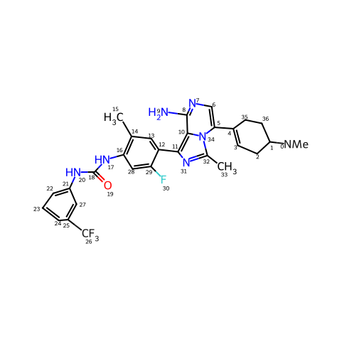 CNC1CC=C(c2cnc(N)c3c(-c4cc(C)c(NC(=O)Nc5cccc(C(F)(F)F)c5)cc4F)nc(C)n23)CC1